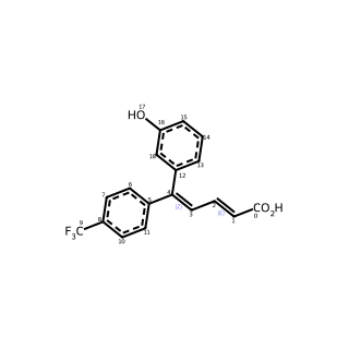 O=C(O)/C=C/C=C(/c1ccc(C(F)(F)F)cc1)c1cccc(O)c1